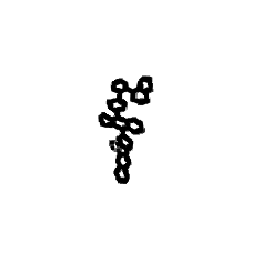 c1ccc(-c2cccc3ccccc23)c(-c2ccc(-c3c4ccccc4c(-c4ccc5c(c4)oc4cc6ccccc6cc45)c4ccccc34)cc2)c1